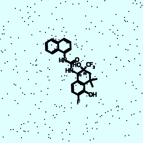 CC1(C)C[C@](O)(C(F)(F)F)[C@H](NC(=O)Nc2cccc3ccccc23)c2ccc(F)c(O)c21